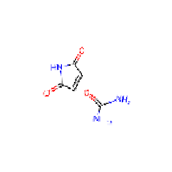 NC(N)=O.O=C1C=CC(=O)N1